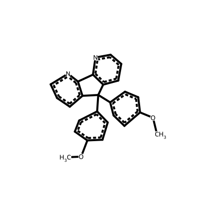 COc1ccc(C2(c3ccc(OC)cc3)c3cccnc3-c3ncccc32)cc1